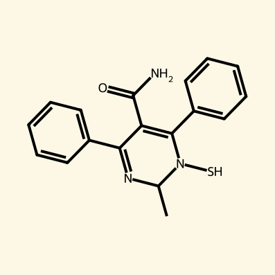 CC1N=C(c2ccccc2)C(C(N)=O)=C(c2ccccc2)N1S